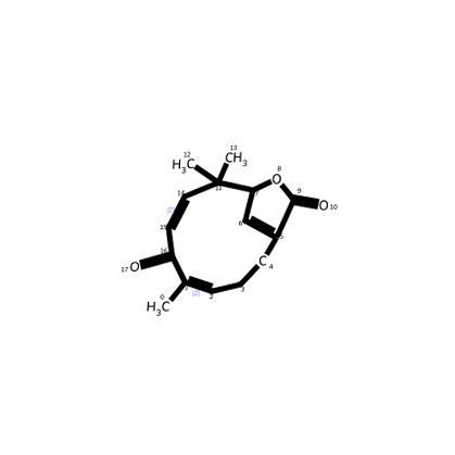 C/C1=C/CCC2=CC(OC2=O)C(C)(C)/C=C\C1=O